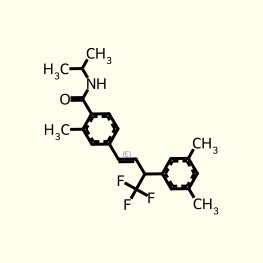 Cc1cc(C)cc(C(/C=C/c2ccc(C(=O)NC(C)C)c(C)c2)C(F)(F)F)c1